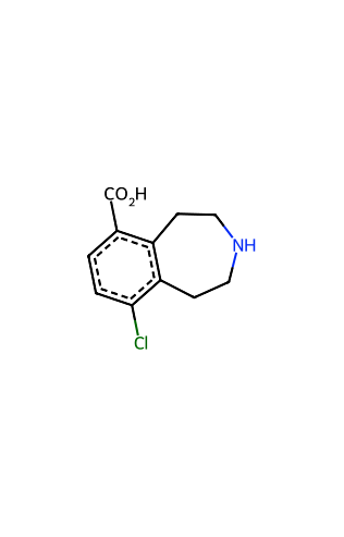 O=C(O)c1ccc(Cl)c2c1CCNCC2